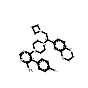 Nc1ncnc(N2CCN(C(CN3CCC3)c3ccc4c(c3)OCCO4)CC2)c1-c1ccc(F)cc1